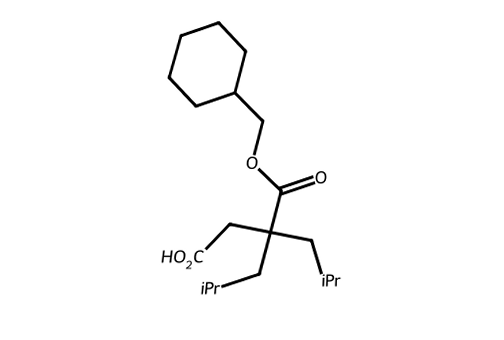 CC(C)CC(CC(=O)O)(CC(C)C)C(=O)OCC1CCCCC1